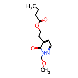 CCCC(=O)OCCc1ccnn(COC)c1=O